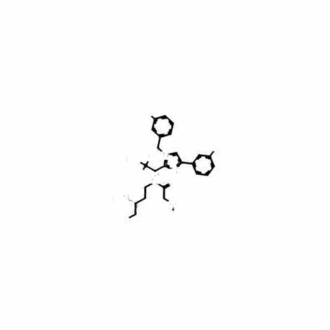 COCC(=O)N(CC[C@H](N)CF)[C@@H](c1nc(-c2cccc(F)c2)cn1Cc1cccc(O)c1)C(C)(C)C